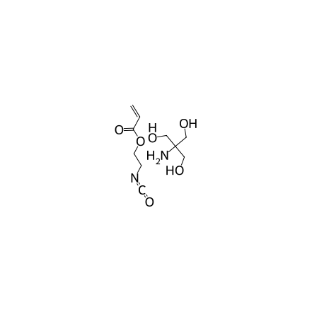 C=CC(=O)OCCN=C=O.NC(CO)(CO)CO